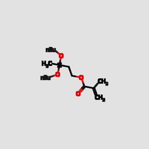 C=C(C)C(=O)OCC[Si](C)(OCCCC)OCCCC